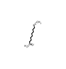 C=C=NCCCCCCCC[S@@+](C)[O-]